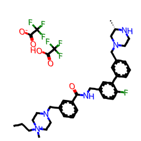 CCC[N+]1(C)CCN(Cc2cccc(C(=O)NCc3ccc(F)c(-c4cccc(CN5CCN[C@@H](C)C5)c4)c3)c2)CC1.O=C(O)C(F)(F)F.O=C([O-])C(F)(F)F